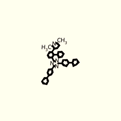 Cc1ccc(-c2cccc(-c3nc(-c4ccc(-c5ccccc5)cc4)nc(-c4ccc(-c5ccccc5)cc4)n3)c2-c2ccccc2)c(C)n1